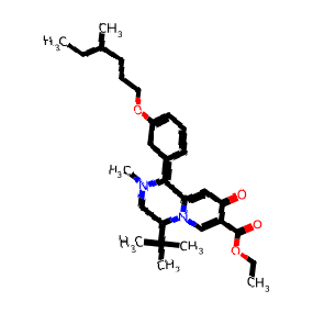 CCOC(=O)c1cn2c(cc1=O)/C(=C1\C=CC=C(OCCCC(C)CC)C1)N(C)CC2C(C)(C)C